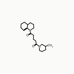 CC1CCCN(C(=O)CCCC(=O)N2CCCC3CCCC=C32)C1